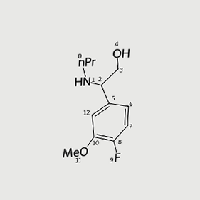 CCCNC(CO)c1ccc(F)c(OC)c1